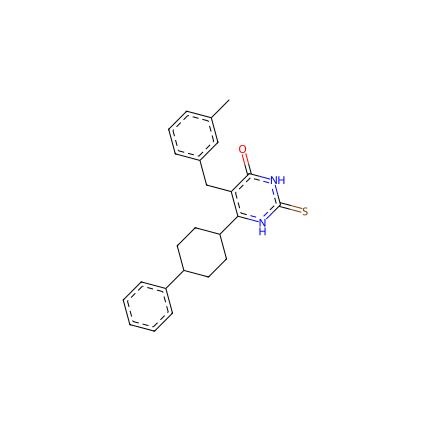 Cc1cccc(Cc2c(C3CCC(c4ccccc4)CC3)[nH]c(=S)[nH]c2=O)c1